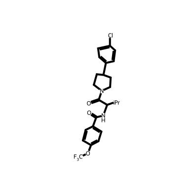 CC(C)C(NC(=O)c1ccc(OC(F)(F)F)cc1)C(=O)N1CCC(c2ccc(Cl)cc2)CC1